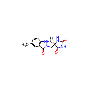 Cc1ccc2[nH]n(CC3(C)NC(=O)NC3=O)c(=O)c2c1